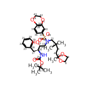 CC(C)(CCC1(C)OCCO1)CN(C[C@@H](O)[C@H](Cc1ccccc1)NC(=O)OC(C)(C)C)S(=O)(=O)c1ccc2c(c1)OCCO2